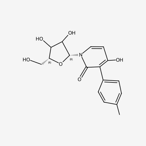 Cc1ccc(-c2c(O)ccn([C@@H]3O[C@H](CO)C(O)C3O)c2=O)cc1